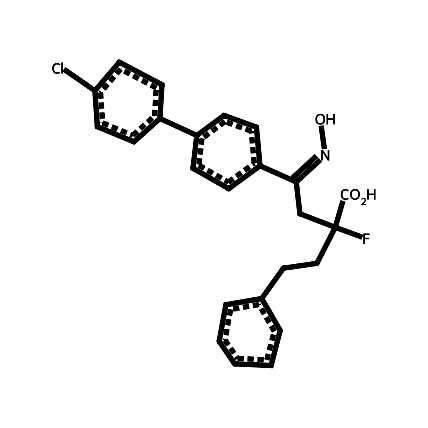 O=C(O)C(F)(CCc1ccccc1)CC(=NO)c1ccc(-c2ccc(Cl)cc2)cc1